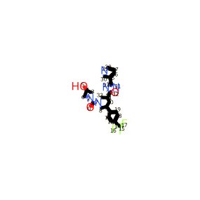 O=C(N1CC(O)C1)N1CC(c2ccc(C(F)(F)F)cc2)CC(c2nc(-c3cccnc3)no2)C1